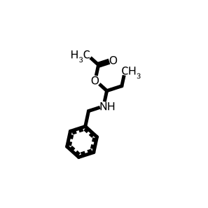 CCC(NCc1ccccc1)OC(C)=O